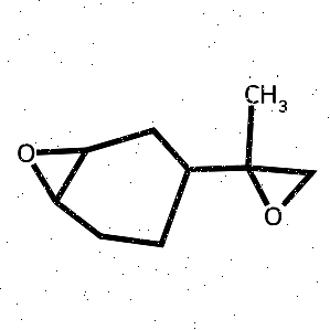 CC1(C2CCC3OC3C2)CO1